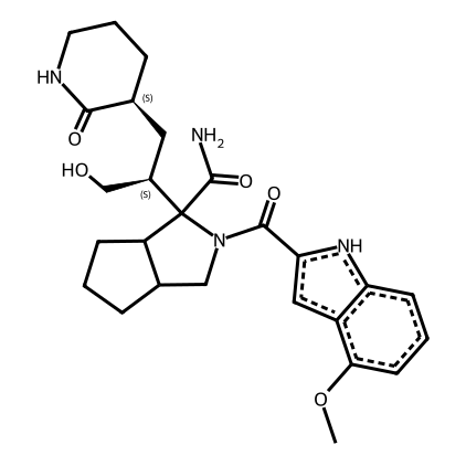 COc1cccc2[nH]c(C(=O)N3CC4CCCC4C3(C(N)=O)[C@@H](CO)C[C@@H]3CCCNC3=O)cc12